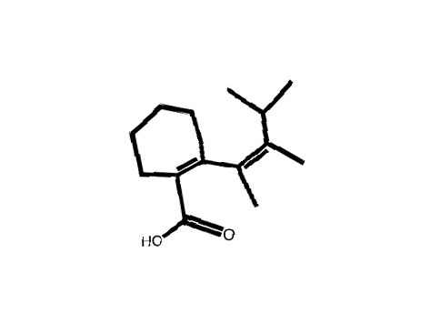 CC(C1=C(C(=O)O)CCCC1)=C(C)C(C)C